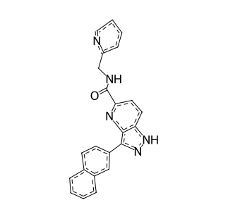 O=C(NCc1ccccn1)c1ccc2[nH]nc(-c3ccc4ccccc4c3)c2n1